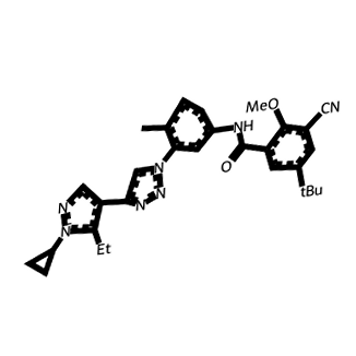 CCc1c(-c2cn(-c3cc(NC(=O)c4cc(C(C)(C)C)cc(C#N)c4OC)ccc3C)nn2)cnn1C1CC1